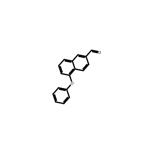 O=Cc1ccc2c(Oc3ccccc3)cccc2c1